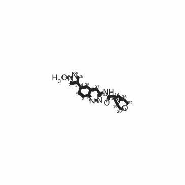 Cn1cc(-c2ccc3nnc(NC(=O)CN4C5CCC4COC5)cc3c2)cn1